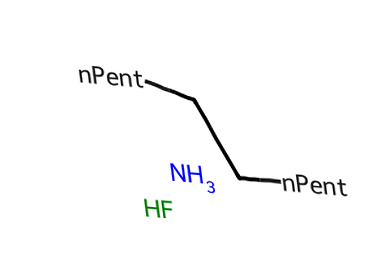 CCCCCCCCCCCC.F.N